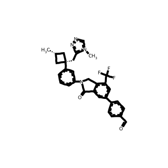 Cn1cnnc1C[C@]1(c2cccc(N3Cc4c(cc(-c5ccc(C=O)cc5)cc4C(F)(F)F)C3=O)c2)C[C@H](C)C1